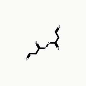 S=CCC(=S)SSC(=S)CC=S